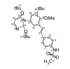 COc1c(C=Cc2ccc(NS(C)(=O)=O)cc2)cc(N2C(OC(C)(C)C)=CC=NC2OC(C)(C)C)cc1C(C)(C)C